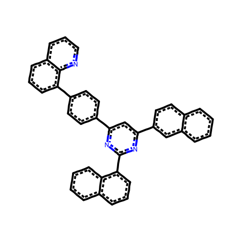 c1ccc2cc(-c3cc(-c4ccc(-c5cccc6cccnc56)cc4)nc(-c4cccc5ccccc45)n3)ccc2c1